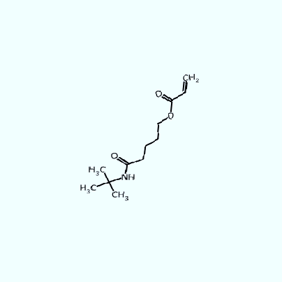 C=CC(=O)OCCCCC(=O)NC(C)(C)C